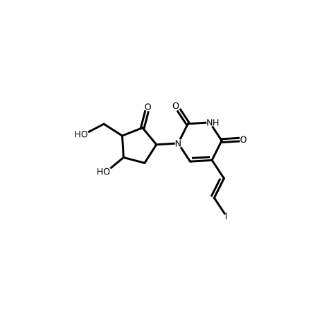 O=C1C(CO)C(O)CC1n1cc(C=CI)c(=O)[nH]c1=O